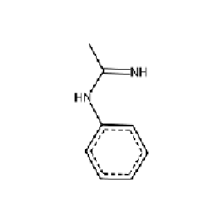 CC(=N)Nc1ccccc1